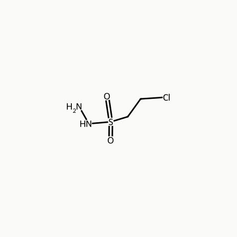 NNS(=O)(=O)CCCl